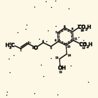 CC=COCCc1ccc(C(=O)O)c(C(=O)O)c1CCO